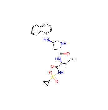 C=CC1C[C@]1(NC(=O)[C@@H]1C[C@@H](Nc2cccc3ccccc23)CN1)C(=O)NS(=O)(=O)C1CC1